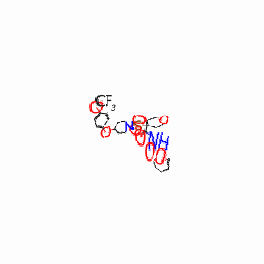 O=C(NOC1CCCCO1)C1(S(=O)(=O)N2CCC(Oc3ccc(OC(F)(F)F)cc3)CC2)CCOCC1